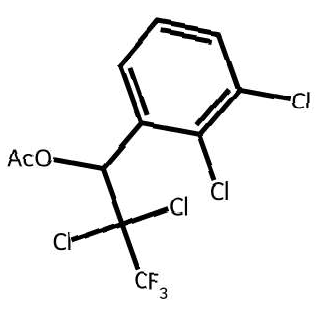 CC(=O)OC(c1cccc(Cl)c1Cl)C(Cl)(Cl)C(F)(F)F